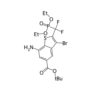 CCOP(=O)(OCC)C(F)(F)c1sc2c(N)cc(C(=O)OC(C)(C)C)cc2c1Br